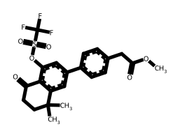 COC(=O)Cc1ccc(-c2cc(OS(=O)(=O)C(F)(F)F)c3c(c2)C(C)(C)CCC3=O)cc1